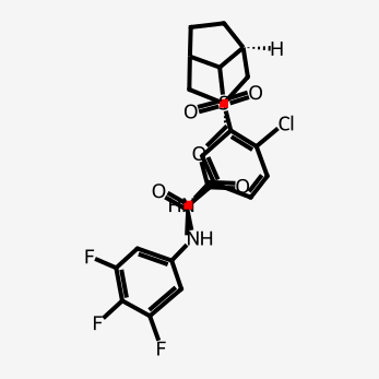 CNC(=O)OC[C@@H]1CC2CC[C@@H](C1)C2S(=O)(=O)c1cc(C(=O)Nc2cc(F)c(F)c(F)c2)ccc1Cl